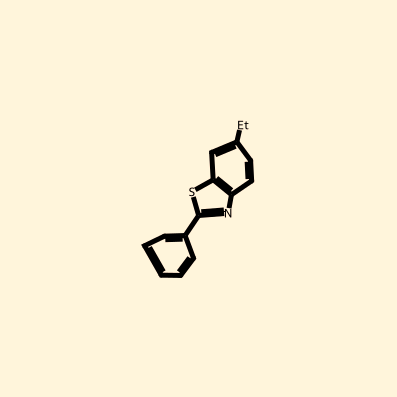 CCc1ccc2nc(-c3ccccc3)sc2c1